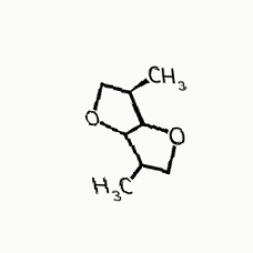 CC1COC2C1OC[C@H]2C